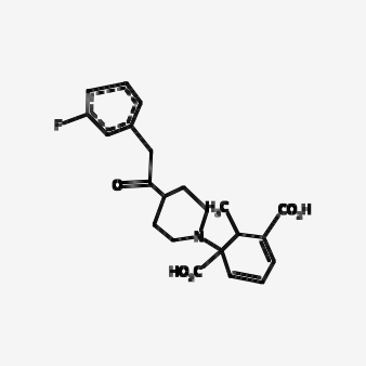 CC1C(C(=O)O)=CC=CC1(C(=O)O)N1CCC(C(=O)Cc2cccc(F)c2)CC1